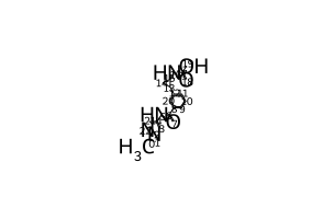 CCn1cc(NC(=O)c2cccc(C3CC3NC(=O)O)c2)cn1